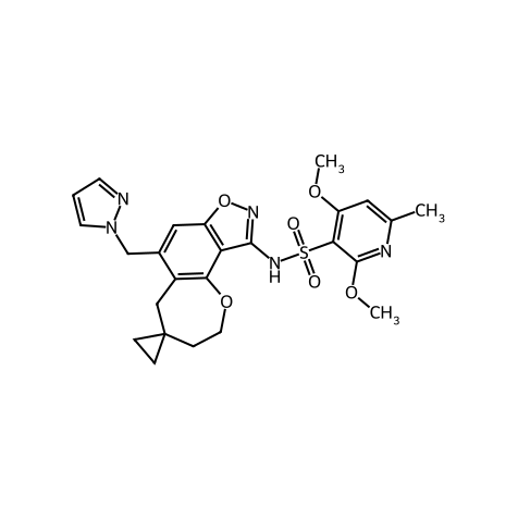 COc1cc(C)nc(OC)c1S(=O)(=O)Nc1noc2cc(Cn3cccn3)c3c(c12)OCCC1(CC1)C3